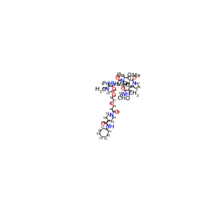 CCC(C)C(C(CC(=O)N1CCCC1C(OC)C(C)C(=O)NCC=O)OC)N(C)C(=O)CNC(=O)C(C(C)C)N(C)CCOCCOCCC(=O)N1CCC(C(=O)NC2CCCCCCC2)CC1